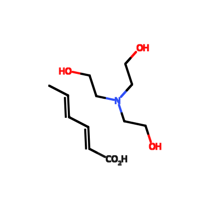 CC=CC=CC(=O)O.OCCN(CCO)CCO